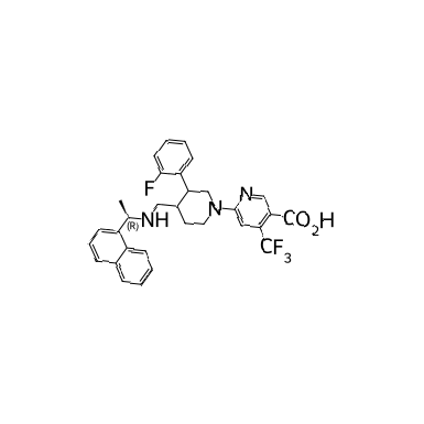 C[C@@H](NCC1CCN(c2cc(C(F)(F)F)c(C(=O)O)cn2)CC1c1ccccc1F)c1cccc2ccccc12